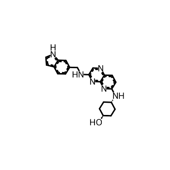 O[C@H]1CC[C@H](Nc2ccc3ncc(NCc4ccc5cc[nH]c5c4)nc3n2)CC1